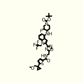 COCC1(c2ccc(C(=O)NCc3nc(-c4cc5c(N[C@@H]6CCN(C(=O)OC(C)(C)C)C[C@@H]6F)cccc5n4CC(F)(F)F)no3)s2)CC1